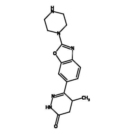 CC1CC(=O)NN=C1c1ccc2nc(N3CCNCC3)oc2c1